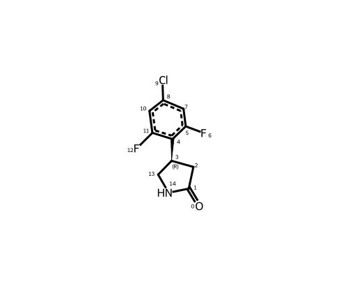 O=C1C[C@H](c2c(F)cc(Cl)cc2F)CN1